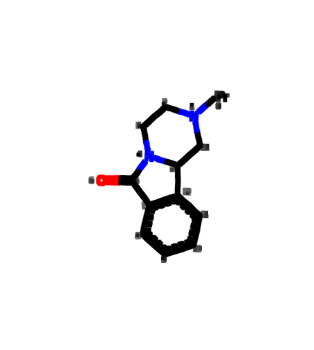 CC(C)N1CCN2C(=O)c3ccccc3C2C1